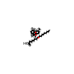 CCCCCCCCC=CCCCCCCCC(=O)O.COc1ccc2c3c1O[C@H]1C(=O)CC[C@H]4[C@@H](C2)N(C)CC[C@]314